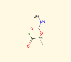 C[C@@H](OC(=O)NC(C)(C)C)C(=O)F